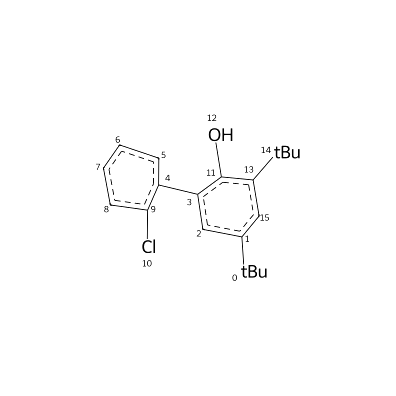 CC(C)(C)c1cc(-c2ccccc2Cl)c(O)c(C(C)(C)C)c1